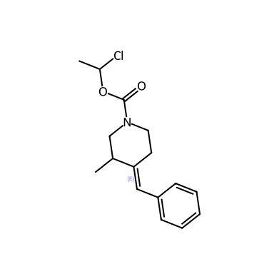 CC(Cl)OC(=O)N1CC/C(=C\c2ccccc2)C(C)C1